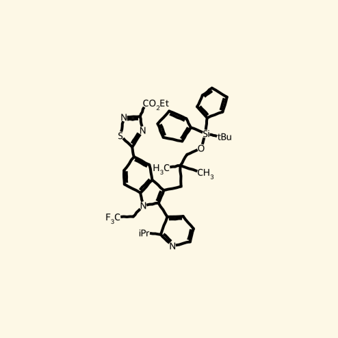 CCOC(=O)c1nsc(-c2ccc3c(c2)c(CC(C)(C)CO[Si](c2ccccc2)(c2ccccc2)C(C)(C)C)c(-c2cccnc2C(C)C)n3CC(F)(F)F)n1